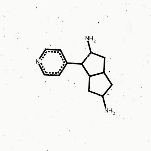 NC1CC2CC(N)C(c3ccncc3)C2C1